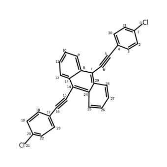 Clc1ccc(C#Cc2c3ccccc3c(C#Cc3ccc(Cl)cc3)c3ccccc23)cc1